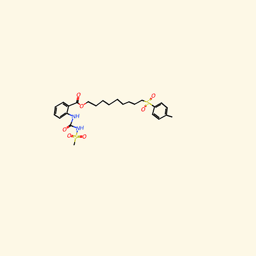 Cc1ccc(S(=O)(=O)CCCCCCCCCOC(=O)c2ccccc2NC(=O)NS(C)(=O)=O)cc1